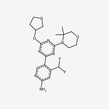 CC1(C)COCCN1c1nc(OC2CCOC2)nc(-c2cnc(N)cc2C(F)F)n1